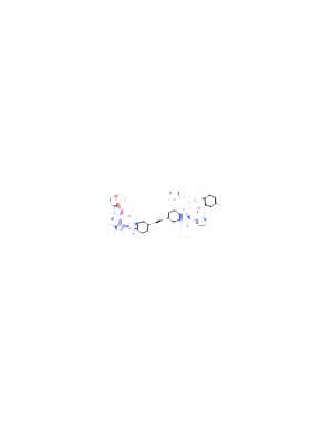 COc1ccc(C)cc1C(=O)N1CCC[C@H]1c1nc2ccc(C#Cc3ccc4[nH]c([C@@H]5CCCN5C(=O)[C@H]5CCCO5)nc4c3)cc2[nH]1